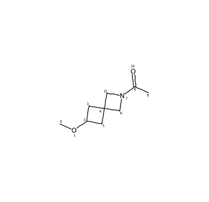 COC1CC2(C1)CN(C(C)=O)C2